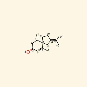 CC1=CC(=O)C[C@@H](C)[C@@]12CCC(=C(C)C)C2